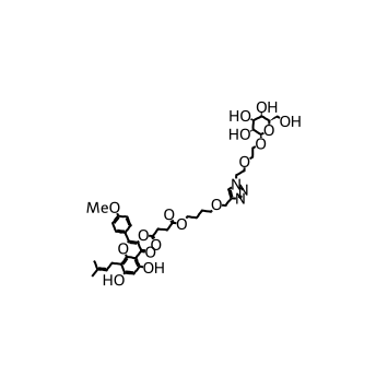 COc1ccc(-c2oc3c(CC=C(C)C)c(O)cc(O)c3c(=O)c2OC(=O)CCC(=O)OCCCCOCc2cn(CCOCCO[C@@H]3O[C@H](CO)[C@@H](O)[C@H](O)[C@H]3O)nn2)cc1